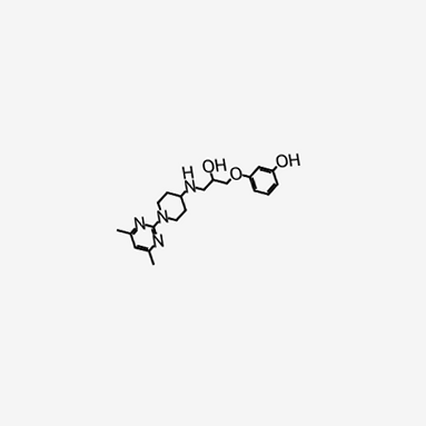 Cc1cc(C)nc(N2CCC(NCC(O)COc3cccc(O)c3)CC2)n1